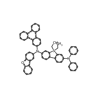 CC[Si]1(CC)c2cc(N(c3ccccc3)c3ccccc3)ccc2-c2ccc(N(c3ccc4oc5ccccc5c4c3)c3ccc4c5ccccc5c5ccccc5c4c3)cc21